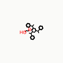 CC(C1=CC(C(C)c2ccccc2)=C(OCCO)C(C(C)c2ccccc2)C1)c1ccccc1